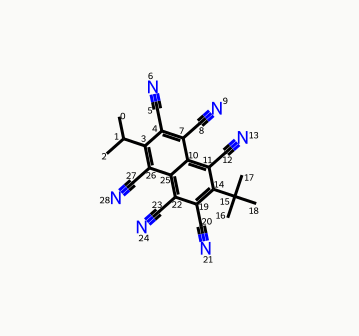 CC(C)c1c(C#N)c(C#N)c2c(C#N)c(C(C)(C)C)c(C#N)c(C#N)c2c1C#N